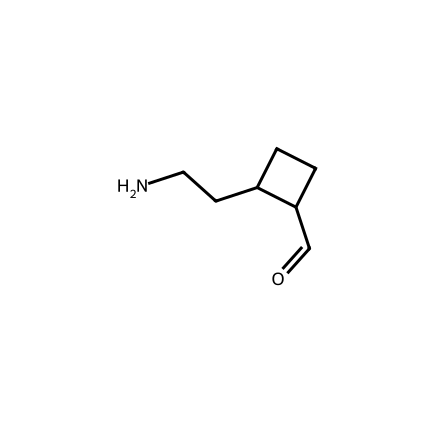 NCCC1CCC1C=O